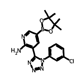 CC1(C)OB(c2cnc(N)c(-c3nnnn3-c3cccc(Cl)c3)c2)OC1(C)C